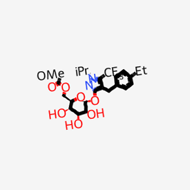 CCc1ccc(Cc2c(O[C@@H]3O[C@H](COC(=O)OC)[C@@H](O)[C@H](O)[C@H]3O)nn(C(C)C)c2C(F)(F)F)cc1